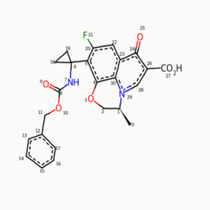 C[C@H]1COc2c(C3(NC(=O)OCc4ccccc4)CC3)c(F)cc3c(=O)c(C(=O)O)cn1c23